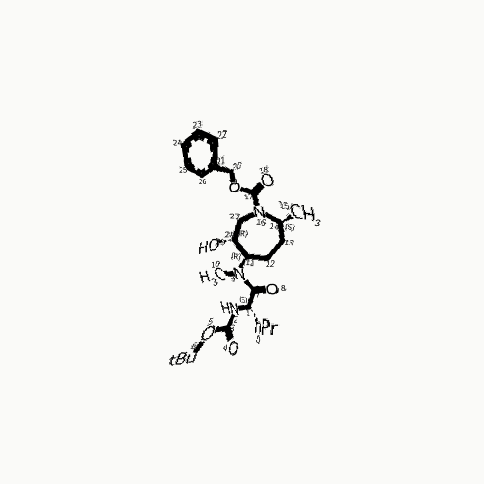 CCC[C@H](NC(=O)OC(C)(C)C)C(=O)N(C)[C@@H]1CC[C@H](C)N(C(=O)OCc2ccccc2)C[C@H]1O